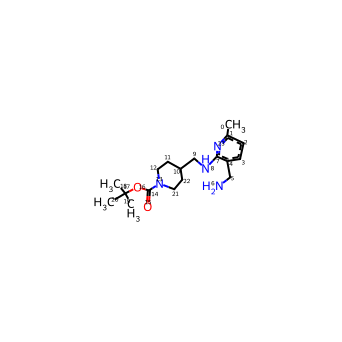 Cc1ccc(CN)c(NCC2CCN(C(=O)OC(C)(C)C)CC2)n1